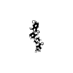 Cc1c(N2CCN(C(=O)c3cnn(C)c3)CC2)cncc1N1C(=O)c2ccc(Cl)cc2[C@@H]1C